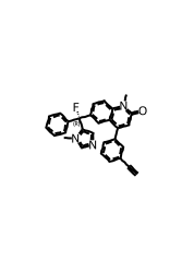 C#Cc1cccc(-c2cc(=O)n(C)c3ccc([C@](F)(c4ccccc4)c4cncn4C)cc23)c1